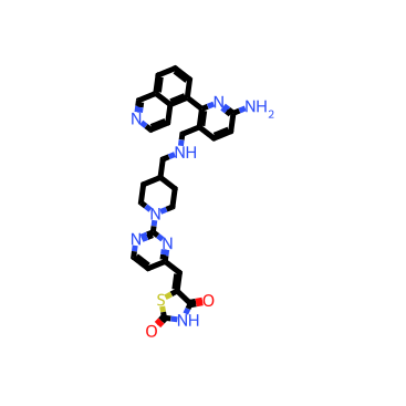 Nc1ccc(CNCC2CCN(c3nccc(/C=C4\SC(=O)NC4=O)n3)CC2)c(-c2cccc3cnccc23)n1